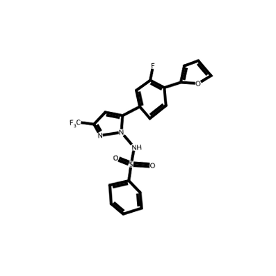 O=S(=O)(Nn1nc(C(F)(F)F)cc1-c1ccc(-c2ccco2)c(F)c1)c1ccccc1